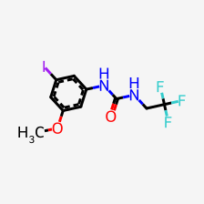 COc1cc(I)cc(NC(=O)NCC(F)(F)F)c1